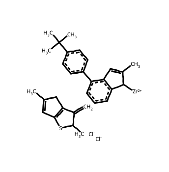 C=C1C2=C(C=C(C)C2)SC1C.CC1=Cc2c(-c3ccc(C(C)(C)C)cc3)cccc2[CH]1[Zr+2].[Cl-].[Cl-]